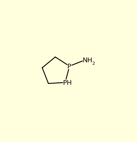 NP1CCCP1